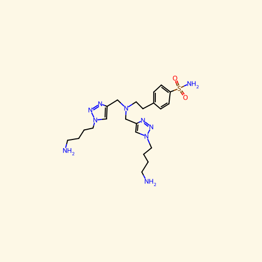 NCCCCn1cc(CN(CCc2ccc(S(N)(=O)=O)cc2)Cc2cn(CCCCN)nn2)nn1